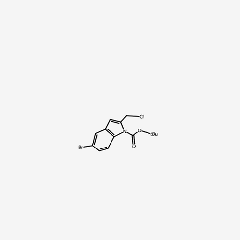 CC(C)(C)OC(=O)n1c(CCl)cc2cc(Br)ccc21